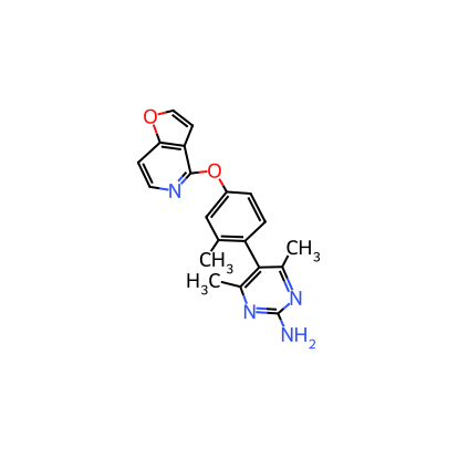 Cc1cc(Oc2nccc3occc23)ccc1-c1c(C)nc(N)nc1C